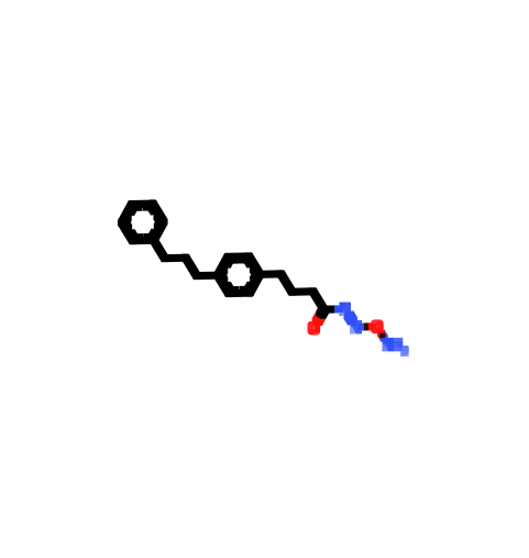 NON=NC(=O)CCCc1ccc(CCCc2ccccc2)cc1